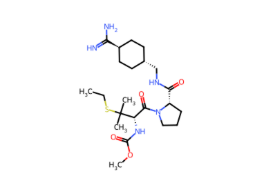 CCSC(C)(C)[C@@H](NC(=O)OC)C(=O)N1CCC[C@H]1C(=O)NC[C@H]1CC[C@H](C(=N)N)CC1